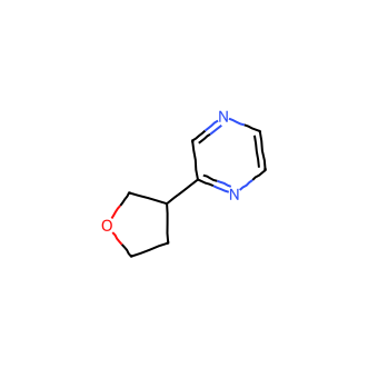 c1cnc(C2CCOC2)cn1